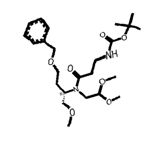 COC[C@H](CCOCc1ccccc1)N(CC(OC)OC)C(=O)CCNC(=O)OC(C)(C)C